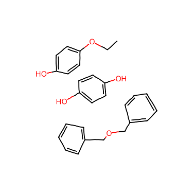 CCOc1ccc(O)cc1.Oc1ccc(O)cc1.c1ccc(COCc2ccccc2)cc1